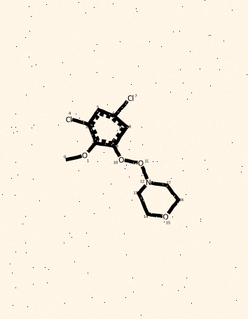 COc1c(Cl)cc(Cl)cc1OON1CCOCC1